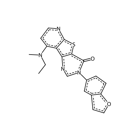 CCN(C)c1ccnc2sc3c(=O)n(-c4ccc5occc5c4)cnc3c12